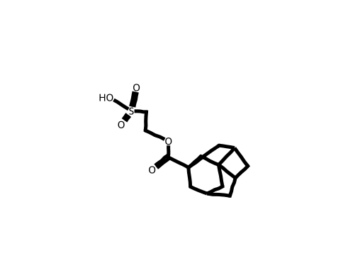 O=C(OCCS(=O)(=O)O)C12CC3CC4CC(C1)C4(C3)C2